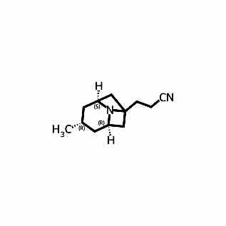 C[C@H]1C[C@@H]2CC3(CCC#N)C[C@H](C1)N23